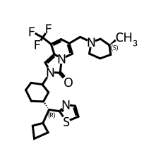 C[C@H]1CCCN(Cc2cc(C(F)(F)F)c3cn(C4CCCC([C@H](c5nccs5)C5CCC5)C4)c(=O)n3c2)C1